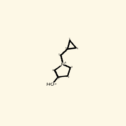 OC1CCN(CC2CC2)C1